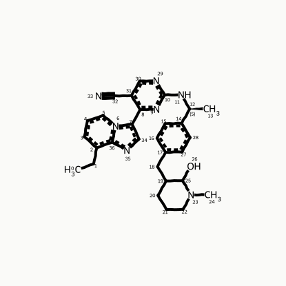 CCc1cccn2c(-c3nc(N[C@@H](C)c4ccc(CC5CCCN(C)C5O)cc4)ncc3C#N)cnc12